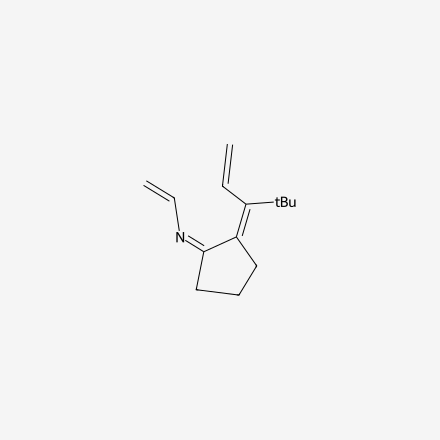 C=C/N=C1/CCC/C1=C(/C=C)C(C)(C)C